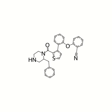 N#Cc1ccccc1Oc1ccccc1-c1ccsc1C(=O)N1CCNCC1Cc1ccccc1